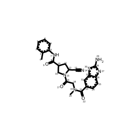 Cc1ccccc1NC(=O)C1CC(C#N)N(C(=O)CN(C)C(=O)c2ccc3nc(N)sc3c2)C1